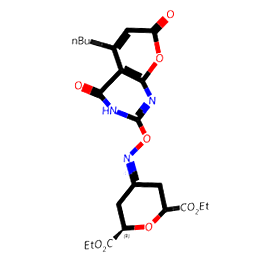 CCCCc1cc(=O)oc2nc(O/N=C3\CC(C(=O)OCC)O[C@@H](C(=O)OCC)C3)[nH]c(=O)c12